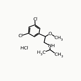 COC(CNC(C)C)c1cc(Cl)cc(Cl)c1.Cl